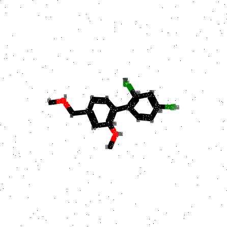 COCc1c[c]c(-c2ccc(Cl)cc2Cl)c(OC)c1